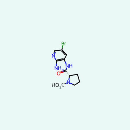 Nc1ncc(Br)cc1NC(=O)[C@@H]1CCCN1C(=O)O